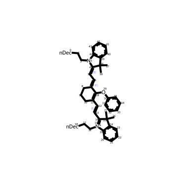 CCCCCCCCCCCCN1/C(=C/C=C2\CCCC(/C=C/C3=[N+](CCCCCCCCCCCC)c4ccccc4C3(C)C)=C2Oc2ccccc2)C(C)(C)c2ccccc21